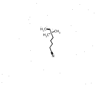 C=CS(C)(C)CCCCC#N